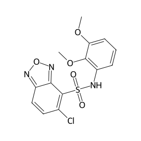 COc1cccc(NS(=O)(=O)c2c(Cl)ccc3nonc23)c1OC